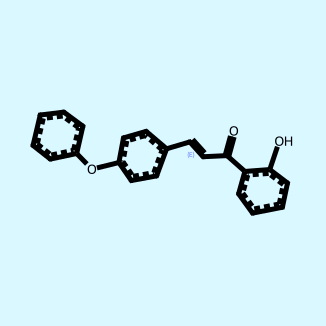 O=C(/C=C/c1ccc(Oc2ccccc2)cc1)c1ccccc1O